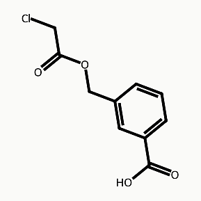 O=C(CCl)OCc1cccc(C(=O)O)c1